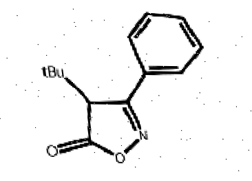 CC(C)(C)C1C(=O)ON=C1c1ccccc1